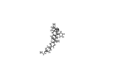 CN1CCN(c2ccc(Nc3ncc4c(n3)N(C3CCCC3)C(=O)C3(CCNC3=O)C4)cc2)CC1